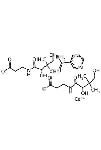 CC(C)(CO)C(O)C(=O)NCCC(=O)[O-].CC(C)(CO)C(O)C(=O)NCCC(=O)[O-].NC(=O)c1cccnc1.[Ca+2]